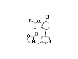 O=C1OCCN1Cc1cncc(-c2ccc(Cl)c(OC(F)F)c2)c1